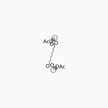 CC(=O)ON1CCCCC1OC(=O)CCCCCCCCC(=O)OC1CCCCN1OC(C)=O